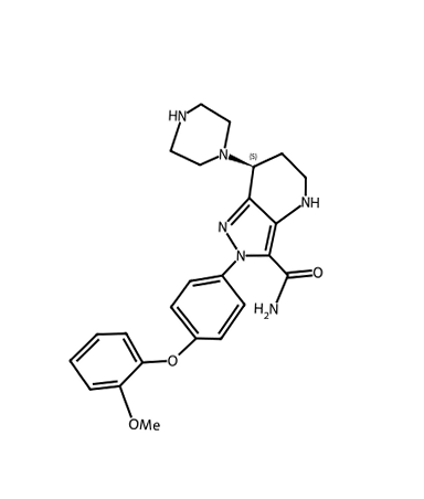 COc1ccccc1Oc1ccc(-n2nc3c(c2C(N)=O)NCC[C@@H]3N2CCNCC2)cc1